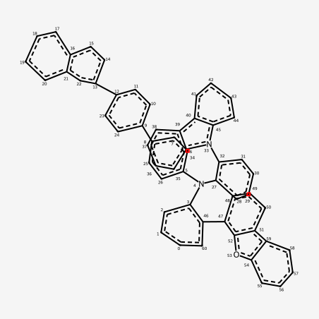 c1ccc(N(c2ccc(-c3ccc(-c4ccc5ccccc5c4)cc3)cc2)c2ccccc2-n2c3ccccc3c3ccccc32)c(-c2cccc3c2oc2ccccc23)c1